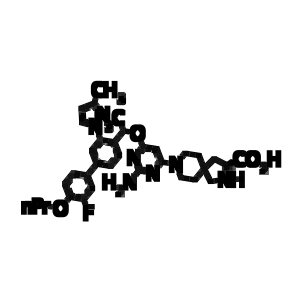 CCCOc1ccc(-c2ccc(C(Oc3cc(N4CCC5(CC4)CN[C@H](C(=O)O)C5)nc(N)n3)C(F)(F)F)c(-n3ccc(C)n3)c2)cc1F